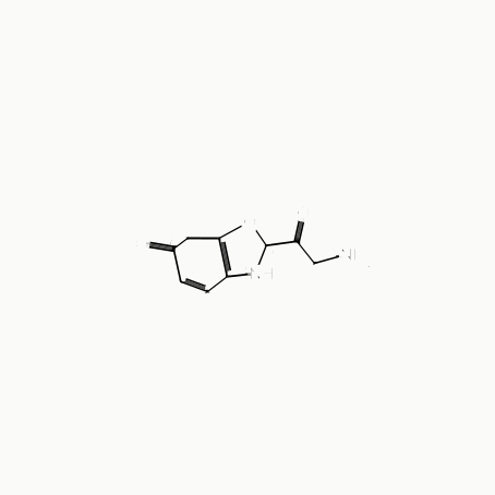 NCC(=O)C1NC2=C(CC(=O)C=C2)O1